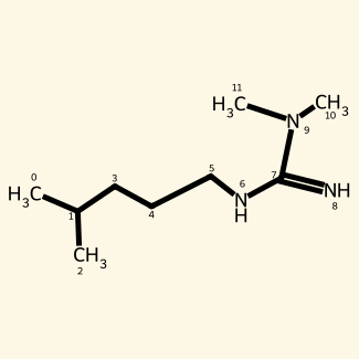 CC(C)CCCNC(=N)N(C)C